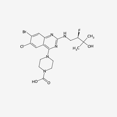 CC(C)(O)[C@H](F)CNc1nc(N2CCN(C(=O)O)CC2)c2cc(Cl)c(Br)cc2n1